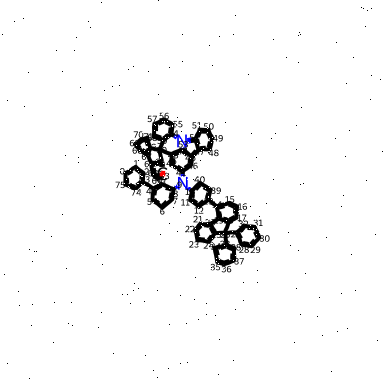 c1ccc(-c2cccc(N(c3ccc(-c4cccc5c4-c4ccccc4C5(c4ccccc4)c4ccccc4)cc3)c3cc4c5c(c3)c3ccccc3n5-c3ccccc3C43c4ccccc4-c4ccccc43)c2)cc1